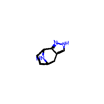 c1[nH]nc2c1CC1CCC2N1